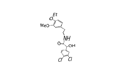 CCOc1ccc(CCNC(=O)C(O)c2ccc(Cl)c(Cl)c2)cc1OC